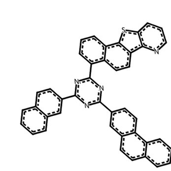 c1ccc2cc(-c3nc(-c4ccc5c(ccc6ccccc65)c4)nc(-c4cccc5c4ccc4c6ncccc6sc54)n3)ccc2c1